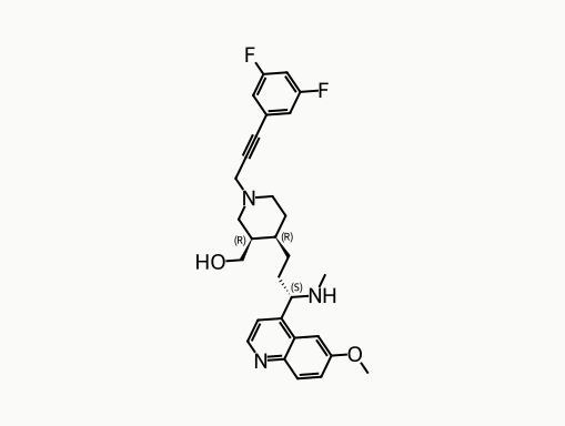 CN[C@@H](CC[C@@H]1CCN(CC#Cc2cc(F)cc(F)c2)C[C@@H]1CO)c1ccnc2ccc(OC)cc12